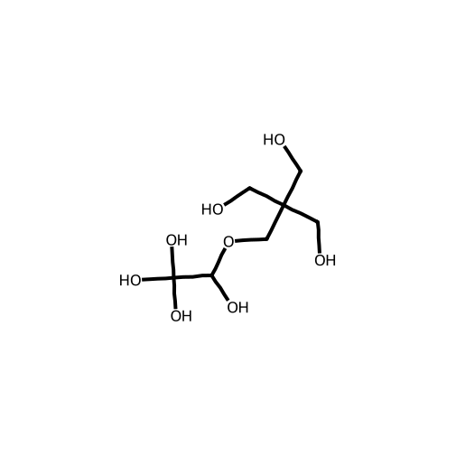 OCC(CO)(CO)COC(O)C(O)(O)O